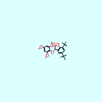 COc1cc(OC)c(OC2C(=O)Oc3c2cc(C(C)(C)C)cc3C(C)(C)C)c(OC)c1